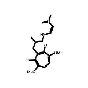 CCC1=C(OC)CC=C(OC)C(Cl)=C1CC(C)CN/C=C\N(C)C